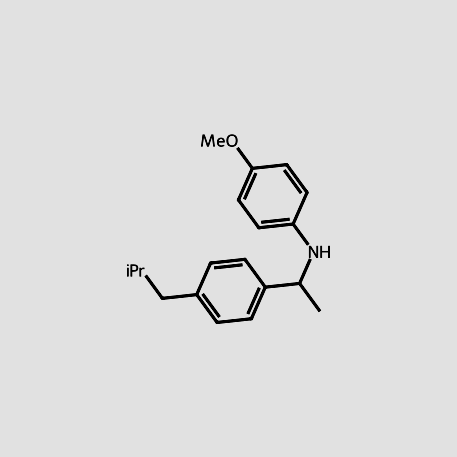 COc1ccc(NC(C)c2ccc(CC(C)C)cc2)cc1